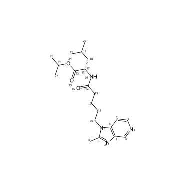 Cc1nc2cnccc2n1CCCCC(=O)N[C@@H](CC(C)C)C(=O)OC(C)C